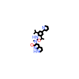 CC(C)c1cc(-c2ccccn2)cc(C(C)C)c1NC(=O)N(C)c1cc2cccnc2[nH]c1=O